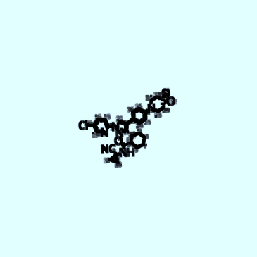 N#CC1(NC(=O)[C@@H]2CCCC[C@H]2c2nn(-c3ccc(Cl)cn3)cc2-c2ccc(N3CCS(=O)(=O)CC3)cc2)CC1